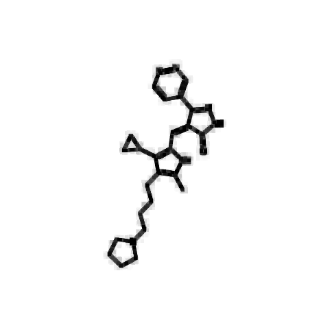 Cc1[nH]c(C=C2C(=O)NN=C2c2ccnnc2)c(C2CC2)c1CCCCN1CCCC1